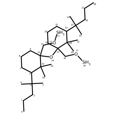 CCCC(C)(C)C1CCCC(CO[SiH3])(OC2(CO[SiH3])CCCC(C(C)(C)CCC)C2(C)C)C1(C)C